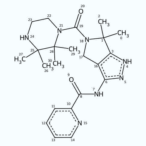 CC1(C)c2[nH]nc(NC(=O)c3ccccn3)c2CN1C(=O)N1CCNC(C)(C)C1(C)C